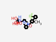 Cc1cc(C(=O)N2Cc3ccc(C(=O)NC(CO)(CO)CO)n3Cc3ccccc32)ccc1-c1ccccc1C(F)(F)F